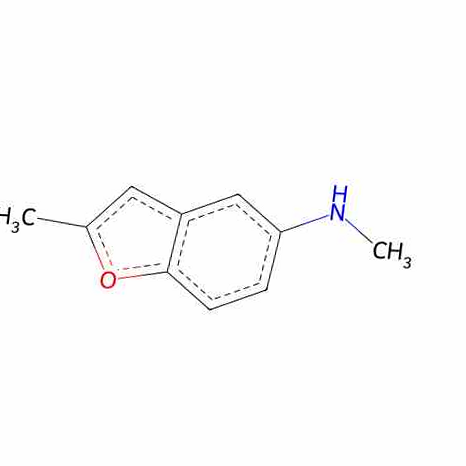 CNc1ccc2oc(C)cc2c1